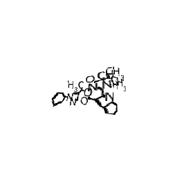 CC(OC(=O)c1cc2ccccc2nc1C1=NC(=O)C(C)(C(C)C)N1)c1cnn(-c2ccccc2)c1